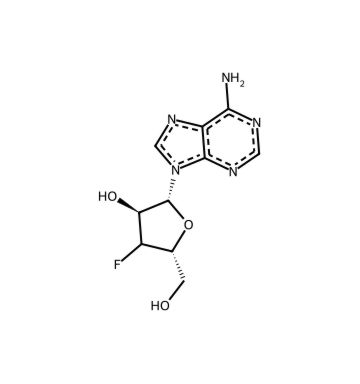 Nc1ncnc2c1ncn2[C@@H]1O[C@H](CO)C(F)[C@H]1O